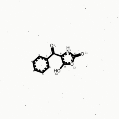 O=C(c1ccccc1)c1[nH]c(=O)oc1O